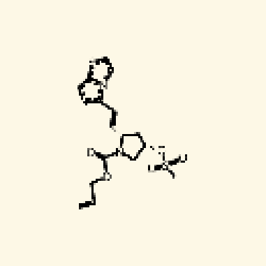 C=CCOC(=O)N1C[C@@H](OS(C)(=O)=O)C[C@H]1/C=C/c1ncc2sccn12